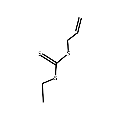 C=CCSC(=S)SCC